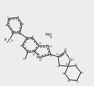 Cc1cc(-c2ccccc2C(F)(F)F)cc2nc(C3=NOC4(CCCCC4)C3)[nH]c12.Cl